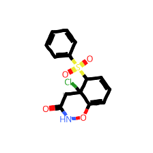 O=C1[C]C2(Cl)C(=CC=CC2S(=O)(=O)c2ccccc2)ON1